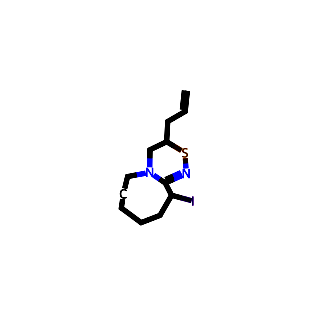 C=CCC1CN2CCCCCC(I)C2=NS1